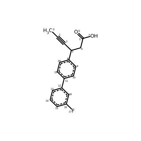 CC#CC(CC(=O)O)c1ccc(-c2cccc(F)c2)cc1